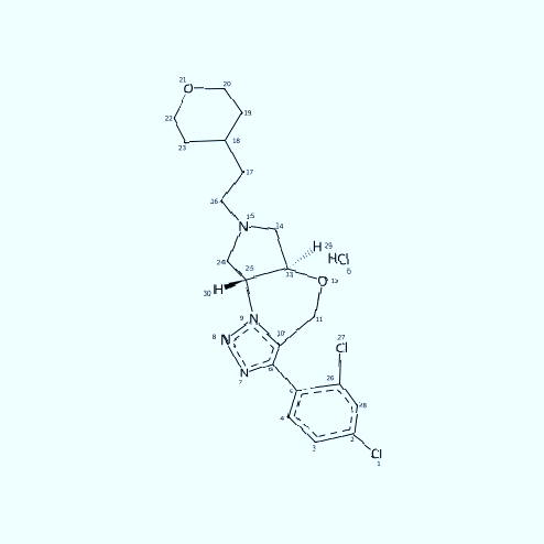 Cl.Clc1ccc(-c2nnn3c2CO[C@@H]2CN(CCC4CCOCC4)C[C@H]23)c(Cl)c1